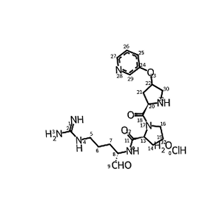 Cl.N=C(N)NCCC[C@@H](C=O)NC(=O)[C@@H]1CCCN1C(=O)[C@H]1CC(Oc2cccnc2)CN1.O